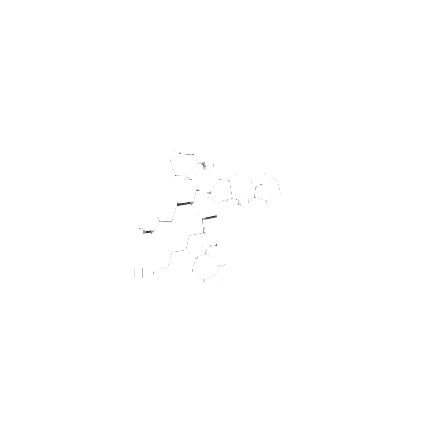 CCCCCC(C=C[C@@H]1[C@@H](CC=CCCC=O)[C@@H](OC2CCCCO2)C[C@H]1OC1CCCCO1)OC1CCCCO1